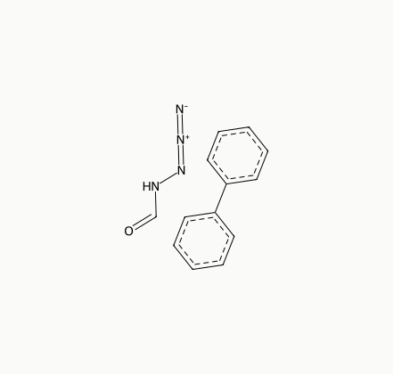 [N-]=[N+]=NNC=O.c1ccc(-c2ccccc2)cc1